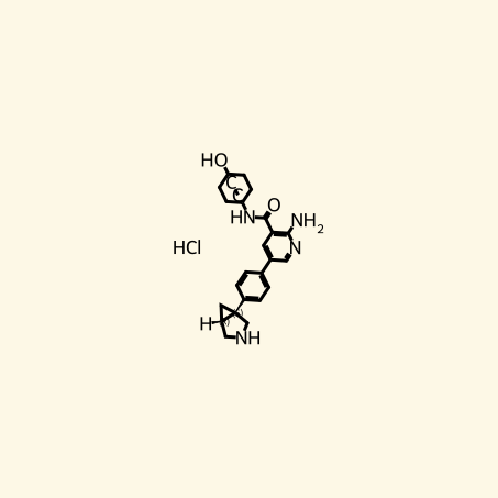 Cl.Nc1ncc(-c2ccc([C@@]34CNC[C@@H]3C4)cc2)cc1C(=O)NC12CCC(O)(CC1)CC2